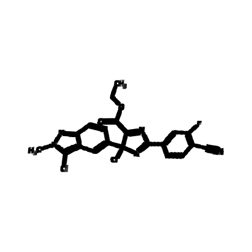 CCOC(=O)C1=NC(c2ccc(C#N)c(F)c2)=NC1(Cl)c1ccc2nn(C)c(Cl)c2c1